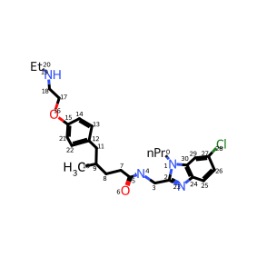 CCCn1c(C[N]C(=O)CCC(C)Cc2ccc(OCCNCC)cc2)nc2ccc(Cl)cc21